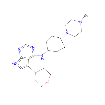 CC(C)N1CCN([C@H]2CC[C@@H](Nc3ncnc4[nH]cc(C5CCOCC5)c34)CC2)CC1